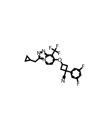 N#CC1(c2cc(F)cc(F)c2)CC(Oc2ccn3c(CC4CC4)nnc3c2C(F)(F)F)C1